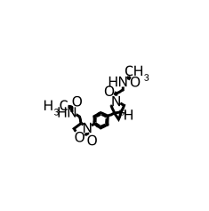 CC(=O)NCC(=O)N1C[C@H]2CC2(c2ccc(N3C(=O)OCC3CNC(C)=O)cc2)C1